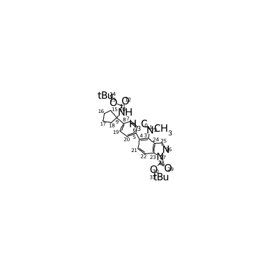 CN(C)c1c(-c2ccc(C3(NC(=O)OC(C)(C)C)CCCC3)cc2)ccc2c1cnn2C(=O)OC(C)(C)C